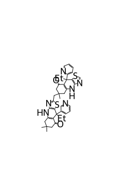 CCC1(c2cccnc2)C2=C(CC(C)(C)CC2=O)Nc2nc(CC3(C)CC(=O)C4=C(C3)Nc3ncsc3C4(CC)c3ccccn3)sc21